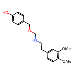 COc1ccc(CCNCOCc2ccc(O)cc2)cc1OC